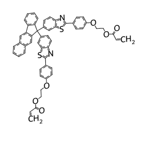 C=CC(=O)OCCOc1ccc(-c2nc3ccc(C4(c5ccc6nc(-c7ccc(OCCOC(=O)C=C)cc7)sc6c5)c5ccccc5-c5cc6ccccc6cc54)cc3s2)cc1